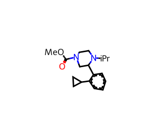 COC(=O)N1CCN(C(C)C)C(c2ccccc2C2CC2)C1